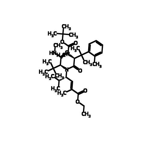 CCOC(=O)/C(C)=C/[C@H](C(C)C)N(C(=O)[C@@H](N(C)C(=O)OC(C)(C)C)C(C)(C)c1ccccc1C)[C@H](C(=O)NC)C(C)(C)C